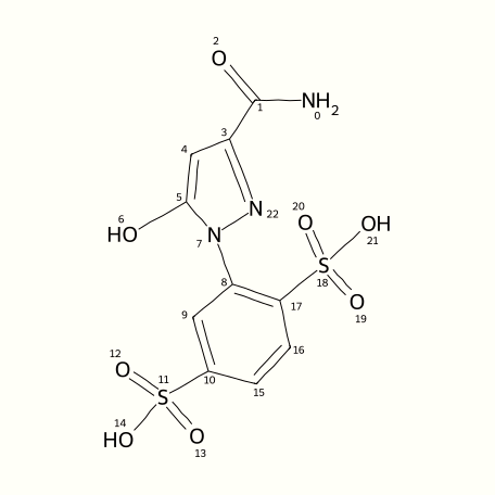 NC(=O)c1cc(O)n(-c2cc(S(=O)(=O)O)ccc2S(=O)(=O)O)n1